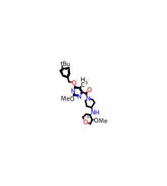 COc1nc(OCc2ccc(C(C)(C)C)cc2)c(C)c(C(=O)N2CCC(N[C@H]3CCOC[C@H]3OC)CC2)n1